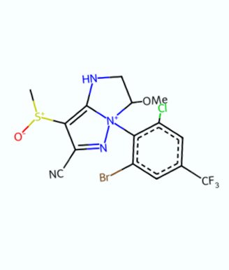 COC1CNC2=C([S+](C)[O-])C(C#N)=N[N+]21c1c(Cl)cc(C(F)(F)F)cc1Br